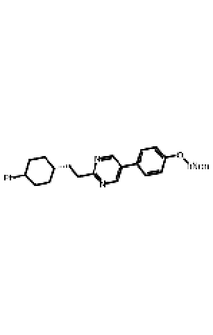 CCCCCCCCCOc1ccc(-c2cnc(CC[C@H]3CC[C@H](CC)CC3)nc2)cc1